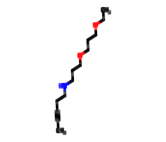 CC#CCCNCCCOCCCOCC